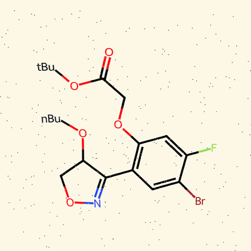 CCCCOC1CON=C1c1cc(Br)c(F)cc1OCC(=O)OC(C)(C)C